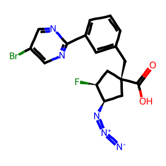 [N-]=[N+]=N[C@@H]1C[C@@](Cc2cccc(-c3ncc(Br)cn3)c2)(C(=O)O)C[C@@H]1F